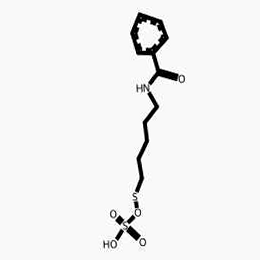 O=C(NCCCCCSOS(=O)(=O)O)c1ccccc1